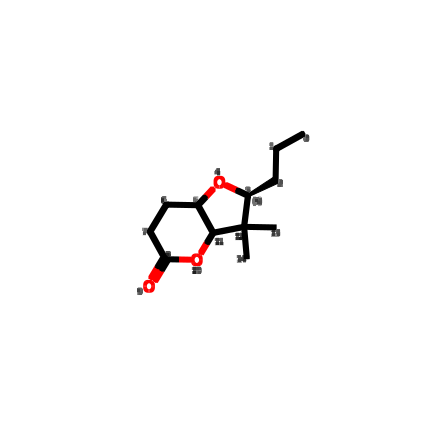 CCC[C@@H]1OC2CCC(=O)OC2C1(C)C